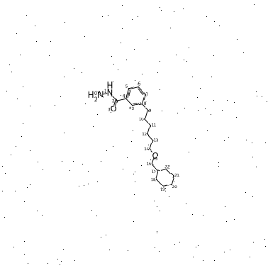 NNC(=O)c1cccc(CCCCCCOCC2CCCCC2)c1